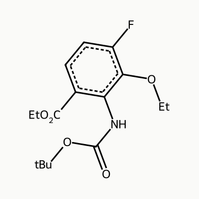 CCOC(=O)c1ccc(F)c(OCC)c1NC(=O)OC(C)(C)C